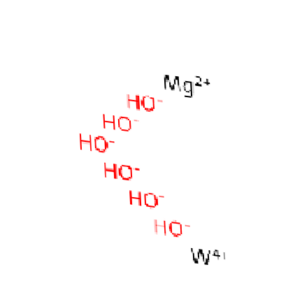 [Mg+2].[OH-].[OH-].[OH-].[OH-].[OH-].[OH-].[W+4]